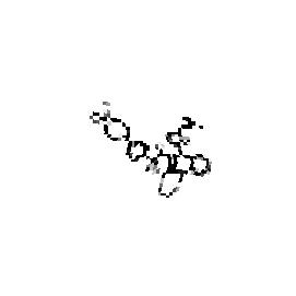 Cc1ccc(C(NC(=O)C2(c3ccc(N4CCS(=O)(=O)CC4)cc3)CC2)c2ccccc2N2CCCCC2)o1